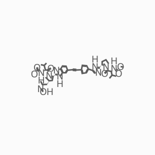 COC(=O)N[C@H](C(=O)N1CCC[C@H]1c1ncc(-c2ccc(C#Cc3ccc4nc([C@@H]5C[C@H](C/C(C)=N\O)CN5C(=O)[C@@H](NC(=O)OC)C(C)C)[nH]c4c3)cc2)[nH]1)C(C)C